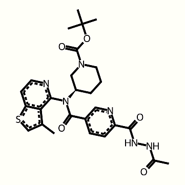 CC(=O)NNC(=O)c1ccc(C(=O)N(c2nccc3scc(C)c23)[C@@H]2CCCN(C(=O)OC(C)(C)C)C2)cn1